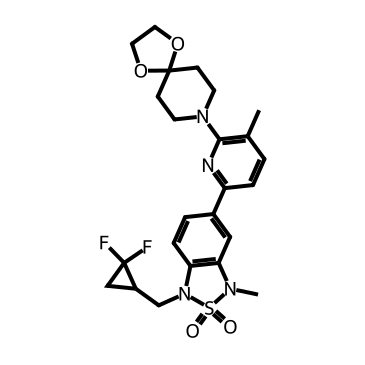 Cc1ccc(-c2ccc3c(c2)N(C)S(=O)(=O)N3CC2CC2(F)F)nc1N1CCC2(CC1)OCCO2